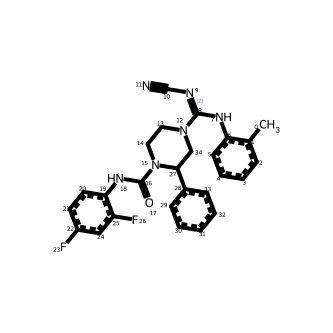 Cc1ccccc1N/C(=N/C#N)N1CCN(C(=O)Nc2ccc(F)cc2F)C(c2ccccc2)C1